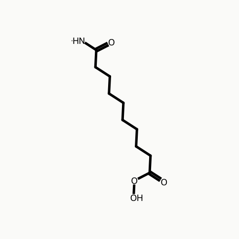 [NH]C(=O)CCCCCCCCC(=O)OO